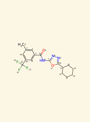 Cc1cc(C(=O)Nc2nnc(C3CCCCC3)o2)cc(C(F)(F)F)c1